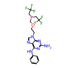 Nc1nc(Nc2ccccc2)c2ncn(CCOCP(CC(F)(F)F)CC(F)(F)F)c2n1